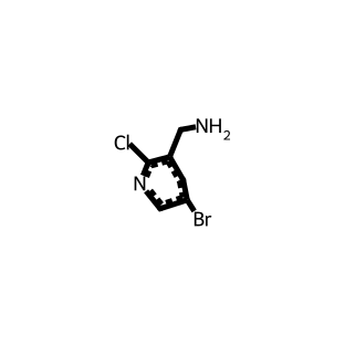 NCc1cc(Br)cnc1Cl